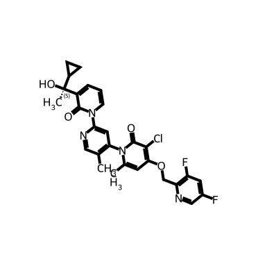 Cc1cnc(-n2cccc([C@@](C)(O)C3CC3)c2=O)cc1-n1c(C)cc(OCc2ncc(F)cc2F)c(Cl)c1=O